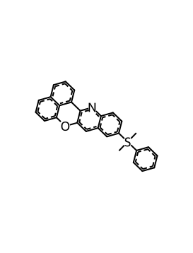 CS(C)(c1ccccc1)c1ccc2nc3c(cc2c1)Oc1cccc2cccc-3c12